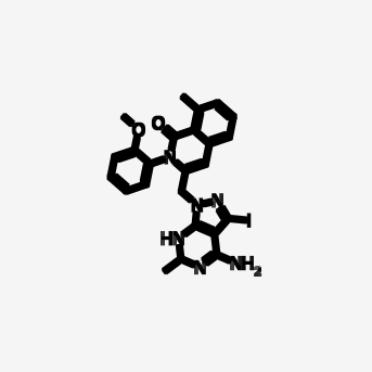 COc1ccccc1-n1c(Cn2nc(I)c3c2NC(C)N=C3N)cc2cccc(C)c2c1=O